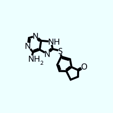 Nc1ncnc2[nH]c(Sc3ccc4c(c3)C(=O)CC4)nc12